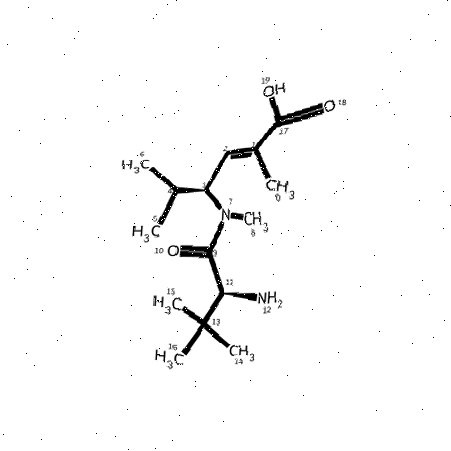 CC(=C[C@H](C(C)C)N(C)C(=O)[C@@H](N)C(C)(C)C)C(=O)O